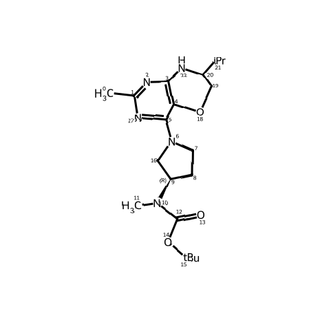 Cc1nc2c(c(N3CC[C@@H](N(C)C(=O)OC(C)(C)C)C3)n1)OCC(C(C)C)N2